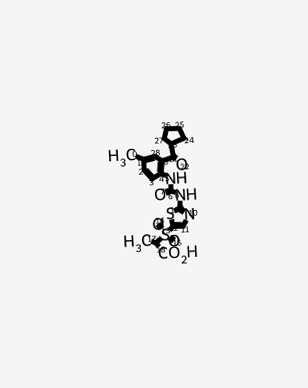 Cc1ccc(NC(=O)Nc2ncc(S(=O)(=O)C(C)C(=O)O)s2)c(C(=O)C2CCCC2)c1